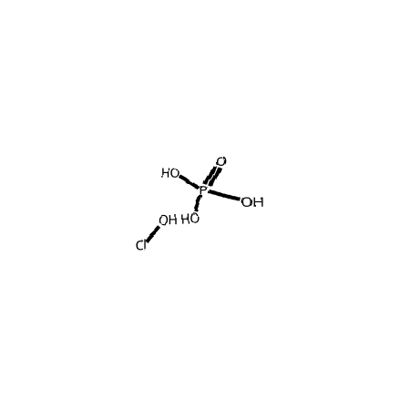 O=P(O)(O)O.OCl